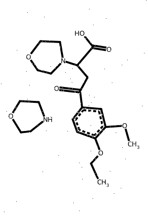 C1COCCN1.CCOc1ccc(C(=O)CC(C(=O)O)N2CCOCC2)cc1OC